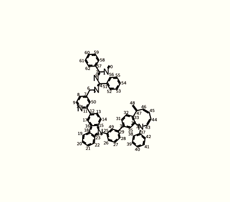 C=N/C(=N\C(=N/Cc1ccnc(-c2ccc3c(c2)c2ccccc2n3-c2cccc(-c3ccc4c(c3)N(c3ccccc3)/C=C\C=C/C4=C)c2)c1)c1ccccc1)c1ccccc1